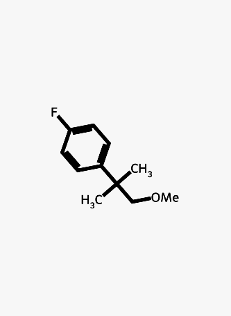 COCC(C)(C)c1ccc(F)cc1